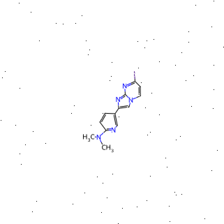 CN(C)c1ccc(-c2cn3ccc(I)nc3n2)cn1